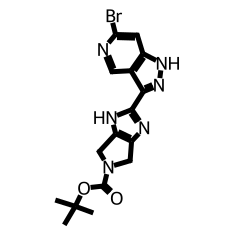 CC(C)(C)OC(=O)N1Cc2nc(-c3n[nH]c4cc(Br)ncc34)[nH]c2C1